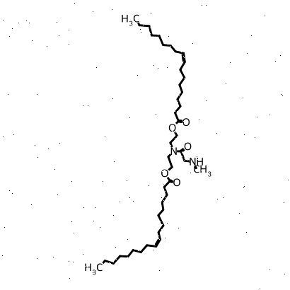 CCCCCCCC/C=C\CCCCCCCC(=O)OCCN(CCOC(=O)CCCCCCC/C=C\CCCCCCCC)C(=O)CNC